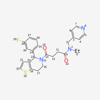 CCN(Cc1ccncc1)C(=O)CCC(=O)N1CCc2sccc2C1c1cccc(F)c1